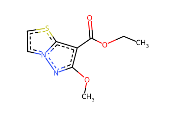 CCOC(=O)c1c(OC)nn2ccsc12